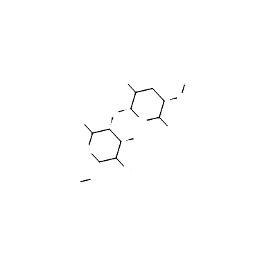 CCO[C@@H]1OC(C(=O)O)[C@@H](O[C@@H]2OC(C(=O)O)[C@H](OCC)[C@@H](O)C2O)[C@@H](O)C1O